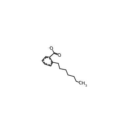 CCCCCCCc1ccccc1C([O])=O